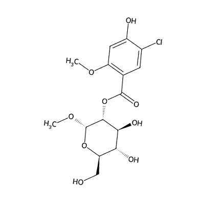 COc1cc(O)c(Cl)cc1C(=O)O[C@H]1[C@@H](OC)O[C@H](CO)[C@@H](O)[C@@H]1O